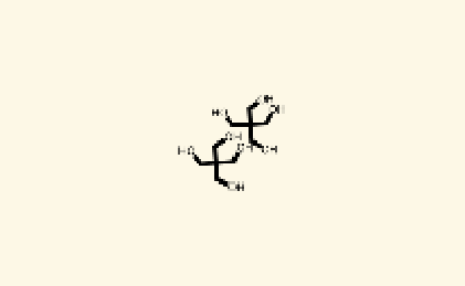 OCC(CO)(CO)CO.OCC(CO)(CO)CO